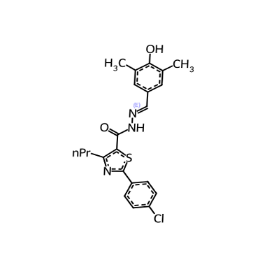 CCCc1nc(-c2ccc(Cl)cc2)sc1C(=O)N/N=C/c1cc(C)c(O)c(C)c1